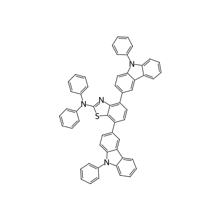 c1ccc(N(c2ccccc2)c2nc3c(-c4ccc5c(c4)c4ccccc4n5-c4ccccc4)ccc(-c4ccc5c(c4)c4ccccc4n5-c4ccccc4)c3s2)cc1